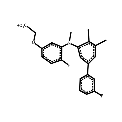 Cc1cc(-c2cccc(F)c2)cc(N(C)c2cc(OCC(=O)O)ccc2F)c1C